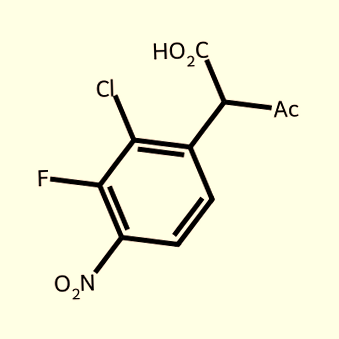 CC(=O)C(C(=O)O)c1ccc([N+](=O)[O-])c(F)c1Cl